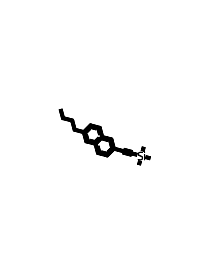 CCCCc1ccc2cc(C#C[Si](C)(C)C)ccc2c1